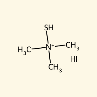 C[N+](C)(C)S.I